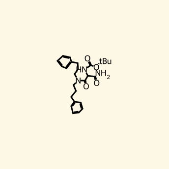 CC(C)(C)OC(=O)NC(C(N)=O)C(=O)N(CCCc1ccccc1)CCCc1ccccc1